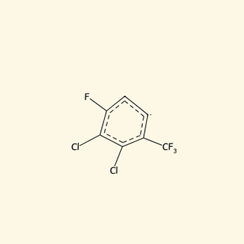 Fc1c[c]c(C(F)(F)F)c(Cl)c1Cl